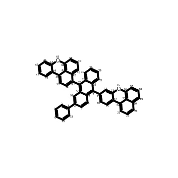 c1ccc(-c2ccc3c(-c4ccc5c(c4)Oc4cccc6cccc-5c46)c4ccccc4c(-c4ccc5c6c(cccc46)Oc4ccccc4-5)c3c2)cc1